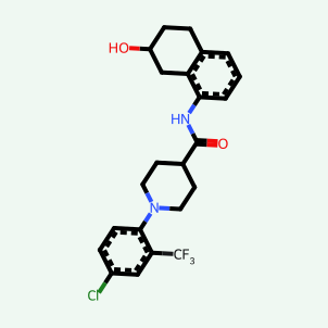 O=C(Nc1cccc2c1CC(O)CC2)C1CCN(c2ccc(Cl)cc2C(F)(F)F)CC1